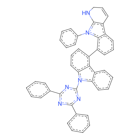 C1=Cc2c(n(-c3ccccc3)c3c(-c4cccc5c4c4ccccc4n5-c4nc(-c5ccccc5)nc(-c5ccccc5)n4)cccc23)NC1